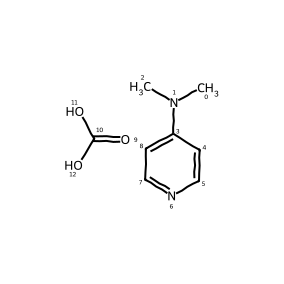 CN(C)c1ccncc1.O=C(O)O